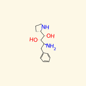 N[C@@H](Cc1ccccc1)[C@H](O)[C@@H](O)[C@@H]1CCCN1